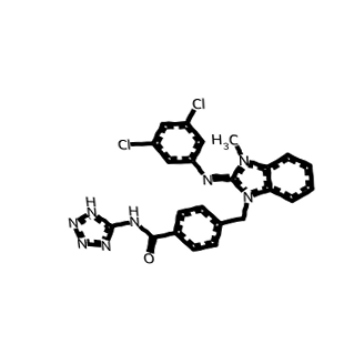 Cn1c(=Nc2cc(Cl)cc(Cl)c2)n(Cc2ccc(C(=O)Nc3nnn[nH]3)cc2)c2ccccc21